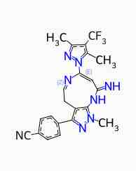 Cc1nn(C2=C/C(=N)Nc3c(c(-c4ccc(C#N)cc4)nn3C)C/C=N\2)c(C)c1C(F)(F)F